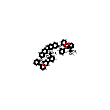 CC(C)(C)c1cccc2c1oc1c(N(c3ccc4cc5oc6cc7ccc(N(c8ccccc8-c8ccccc8)c8cccc9c8oc8c(C(C)(C)C)cccc89)cc7cc6c5cc4c3)c3ccccc3-c3ccccc3)cccc12